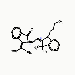 CCCCN1/C(=C/C=C2\C(=O)c3ccccc3C2=C(C#N)C#N)C(C)(C)c2ccccc21